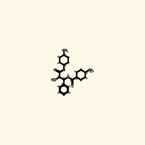 CC1CCC(OC(=O)C(C)C(OC(=O)C2CCC(C)CC2)c2ccccc2)CC1